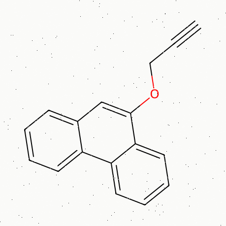 C#CCOc1cc2ccccc2c2ccccc12